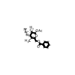 CC(=O)O[C@@H]1OC(COC(=O)c2ccccc2)[C@H](C)[C@H](N=[N+]=[N-])C1C